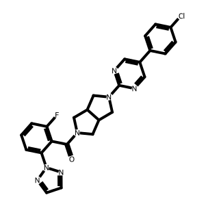 O=C(c1c(F)cccc1-n1nccn1)N1CC2CN(c3ncc(-c4ccc(Cl)cc4)cn3)CC2C1